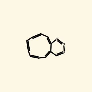 c1ccccc2nnpcc2ccc1